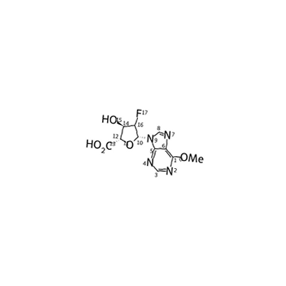 COc1ncnc2c1ncn2[C@@H]1O[C@H](C(=O)O)[C@@H](O)C1F